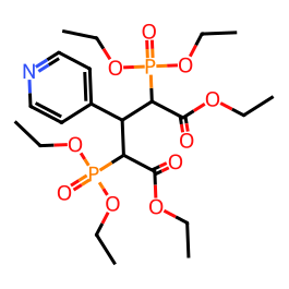 CCOC(=O)C(C(c1ccncc1)C(C(=O)OCC)P(=O)(OCC)OCC)P(=O)(OCC)OCC